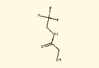 O=C(CS)NCC(F)(F)F